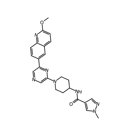 COc1ccc2cc(-c3cncc(N4CCC(NC(=O)c5cnn(C)c5)CC4)n3)ccc2n1